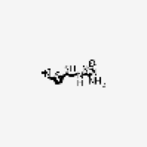 CN(C)Cc1ccc(C(S)CCNc2n[s+]([O-])nc2N)s1